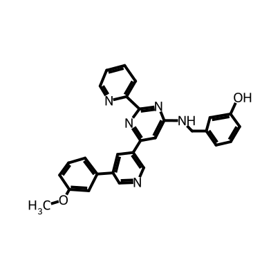 COc1cccc(-c2cncc(-c3cc(NCc4cccc(O)c4)nc(-c4ccccn4)n3)c2)c1